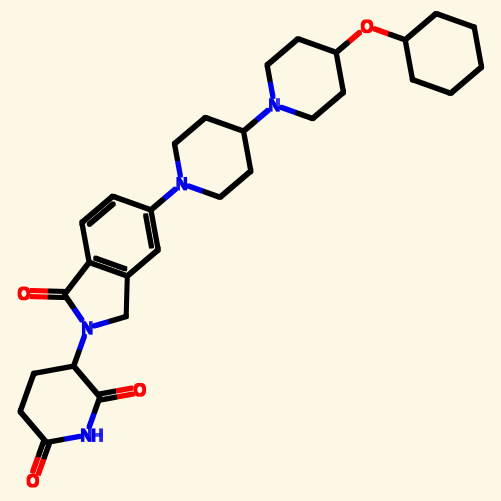 O=C1CCC(N2Cc3cc(N4CCC(N5CCC(OC6CCCCC6)CC5)CC4)ccc3C2=O)C(=O)N1